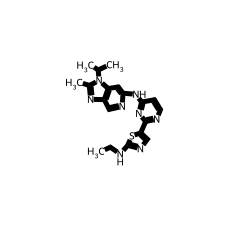 CCNc1ncc(-c2nccc(Nc3cc4c(cn3)nc(C)n4C(C)C)n2)s1